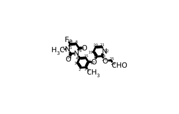 Cc1ccc(-n2c(=O)cc(F)n(C)c2=O)cc1Oc1cccnc1OCC=O